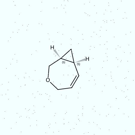 C1=C[C@@H]2C[C@@H]2COC1